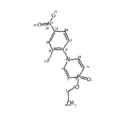 CCOP1(=O)C=CN(c2ccc([N+](=O)[O-])cc2F)C=C1